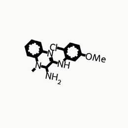 COc1ccc(Cl)c(NC2=Nc3ccccc3N(C)C2N)c1